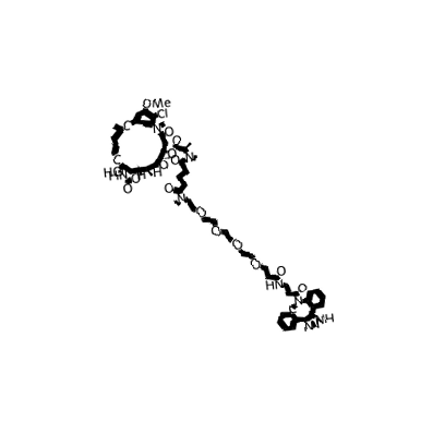 COc1cc2cc(c1Cl)N(C)C(=O)C[C@@H](OC(=O)[C@@H](C)N(C)C(=O)CCCC(=O)N(C)CCOCCOCCOCCOCCC(=O)NCCC(=O)N1Cc3ccccc3-c3nn[nH]c3-c3ccccc31)[C@@]1(C)O[C@@H]1[C@@H](C)[C@H]1C[C@@](O)(C/C=C/C=C(/C)C2)NC(=O)O1